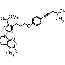 COC(=O)c1nc(N2CCCc3c2nnc(Cl)c3C)sc1CCCOc1ccc(C#CCN(C)C)cc1